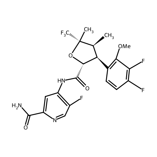 COc1c([C@H]2[C@H](C(=O)Nc3cc(C(N)=O)ncc3F)O[C@](C)(C(F)(F)F)[C@H]2C)ccc(F)c1F